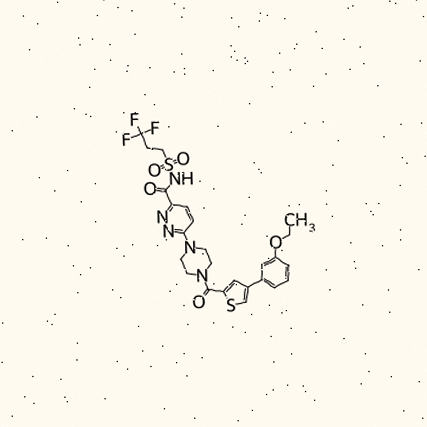 CCOc1cccc(-c2csc(C(=O)N3CCN(c4ccc(C(=O)NS(=O)(=O)CCC(F)(F)F)nn4)CC3)c2)c1